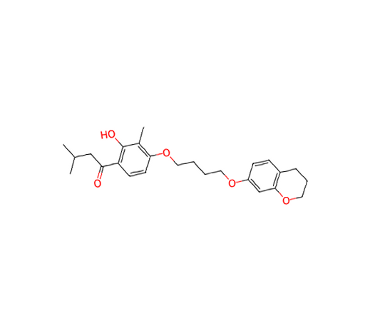 Cc1c(OCCCCOc2ccc3c(c2)OCCC3)ccc(C(=O)CC(C)C)c1O